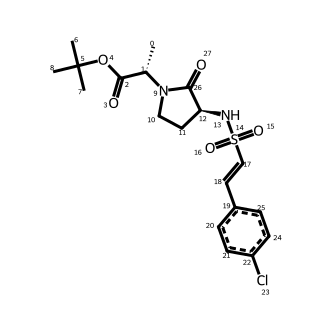 C[C@@H](C(=O)OC(C)(C)C)N1CC[C@H](NS(=O)(=O)/C=C/c2ccc(Cl)cc2)C1=O